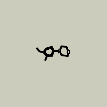 CCc1ccc(N2CCOCC2)cc1C